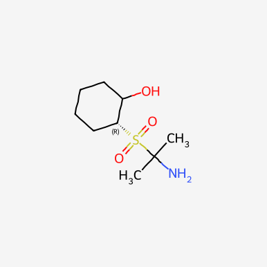 CC(C)(N)S(=O)(=O)[C@@H]1CCCCC1O